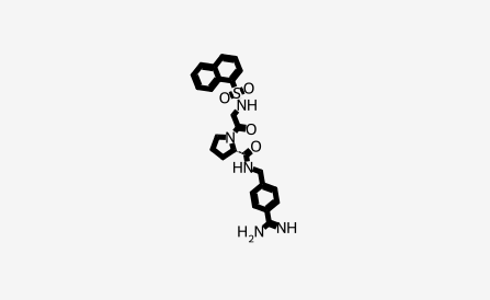 N=C(N)c1ccc(CNC(=O)[C@@H]2CCCN2C(=O)CNS(=O)(=O)c2cccc3ccccc23)cc1